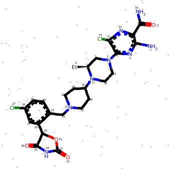 CC[C@H]1CN(c2nc(N)c(C(N)=O)nc2Cl)CCN1C1CCN(Cc2ccc(Cl)cc2C2OC(=O)NC2=O)CC1